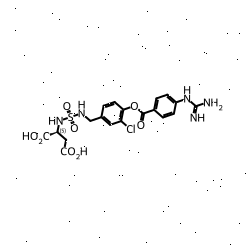 N=C(N)Nc1ccc(C(=O)Oc2ccc(CNS(=O)(=O)N[C@@H](CC(=O)O)C(=O)O)cc2Cl)cc1